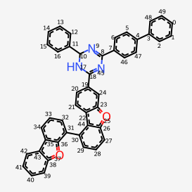 c1ccc(-c2ccc(C3=NC(c4ccccc4)NC(c4ccc5c(c4)oc4cccc(-c6cccc7c6oc6ccccc67)c45)=N3)cc2)cc1